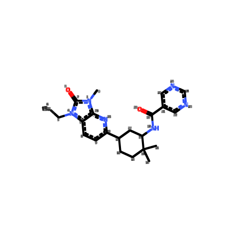 Cn1c(=O)n(CC(C)(C)C)c2ccc(C3CCC(C)(C)C(NC(=O)c4cncnc4)C3)nc21